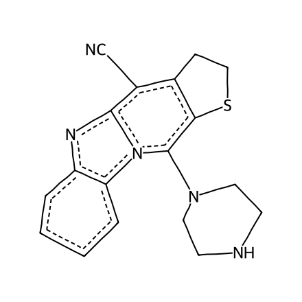 N#Cc1c2c(c(N3CCNCC3)n3c1nc1ccccc13)SCC2